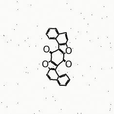 O=C1c2oc3ccc4ccccc4c3c2C(=O)c2oc3ccc4ccccc4c3c21